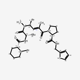 C/C(=C\[C@H](C(C)C)N(C)C(=O)[C@@H](NC(=O)[C@H]1CCCCN1C(C)C)C(C)(C)C)C(=O)N1CCC[C@H]1C(=O)NCc1cccs1